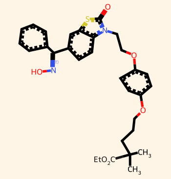 CCOC(=O)C(C)(C)CCCOc1ccc(OCCn2c(=O)sc3cc(/C(=N/O)c4ccccc4)ccc32)cc1